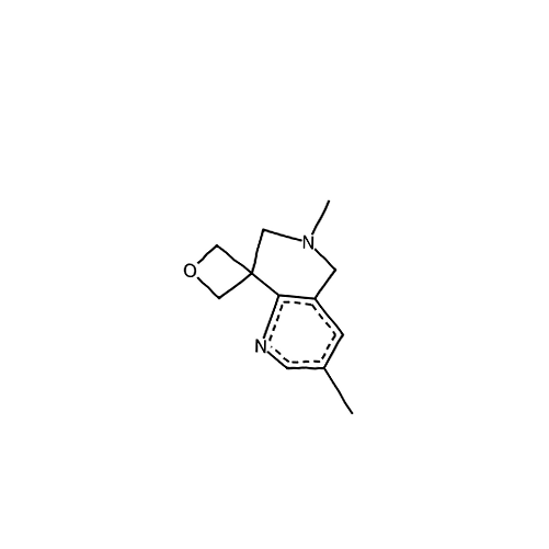 Cc1cnc2c(c1)CN(C)CC21COC1